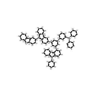 c1ccc(N(c2ccccc2)c2cccc(-c3cc(-c4ccc5c(c4)c4ccccc4n5-c4ccc5oc6ccccc6c5c4)cc(-c4cccc5c4c4ccccc4n5-c4ccccc4)c3)c2)cc1